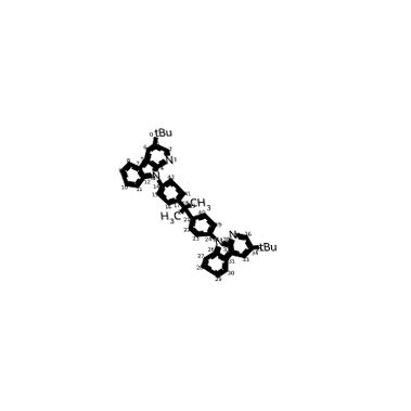 CC(C)(C)c1cnc2c(c1)c1ccccc1n2-c1ccc(C(C)(C)c2ccc(-n3c4ccccc4c4cc(C(C)(C)C)cnc43)cc2)cc1